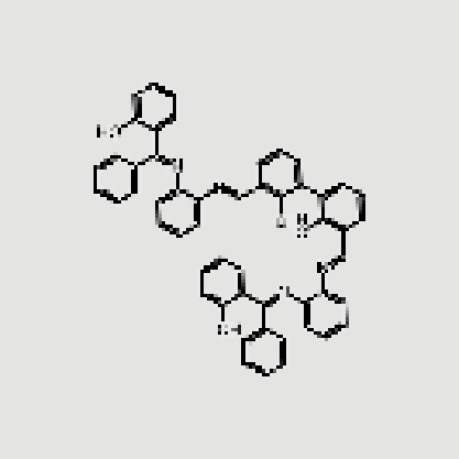 Oc1ccccc1C(=Nc1ccccc1N=Cc1cccc(-c2cccc(C=Nc3ccccc3N=C(c3ccccc3)c3ccccc3O)c2O)c1O)c1ccccc1